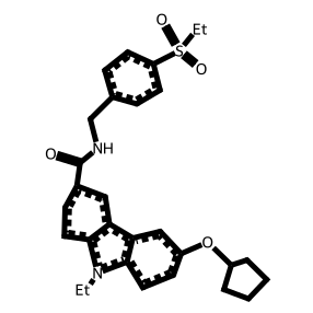 CCn1c2ccc(OC3CCCC3)cc2c2cc(C(=O)NCc3ccc(S(=O)(=O)CC)cc3)ccc21